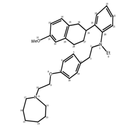 CCN(CCc1ccc(OCCN2CCCCCC2)cc1)c1ccccc1C1CCc2cc(OC)ccc2C1